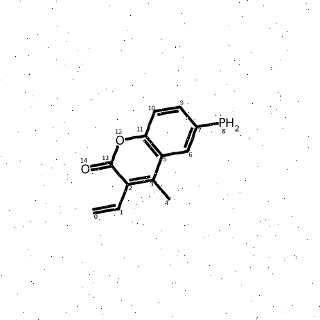 C=Cc1c(C)c2cc(P)ccc2oc1=O